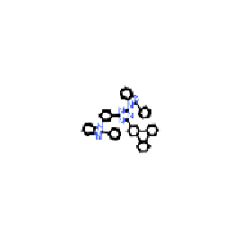 c1ccc(-c2nc3ccccc3n2-c2cccc(-c3nc(-c4ccc5c6ccccc6c6ccccc6c5c4)nc(-n4c(-c5ccccc5)nc5ccccc54)n3)c2)cc1